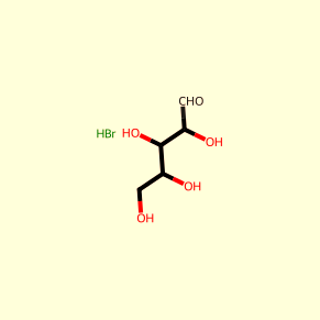 Br.O=CC(O)C(O)C(O)CO